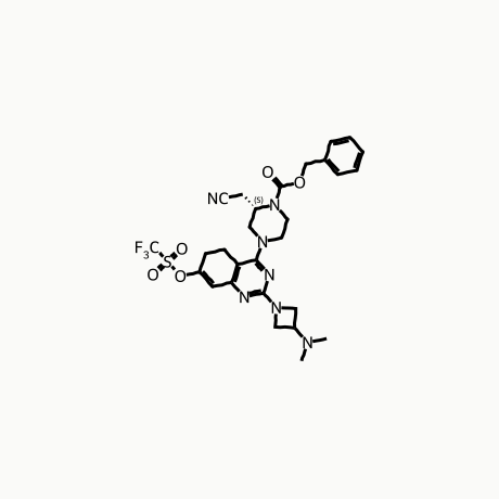 CN(C)C1CN(c2nc3c(c(N4CCN(C(=O)OCc5ccccc5)[C@@H](CC#N)C4)n2)CCC(OS(=O)(=O)C(F)(F)F)=C3)C1